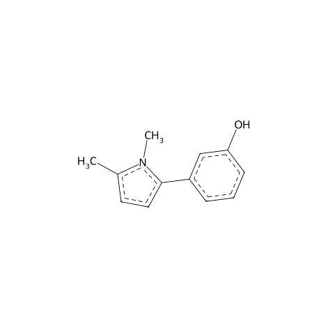 Cc1ccc(-c2cccc(O)c2)n1C